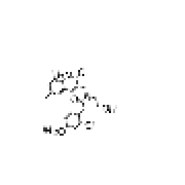 COc1ccc(CC(=O)N(CCO)Cc2cc3cc(C)cc(C)c3[nH]c2=O)c(Cl)c1